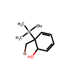 CC(C)(C)[Si](C)(C)C1(CBr)C=CC=CC1O